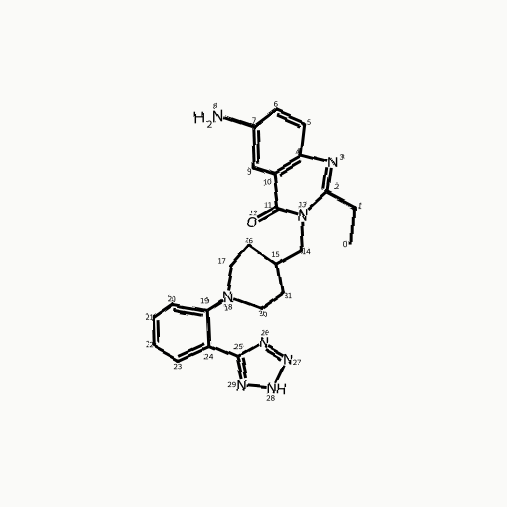 CCc1nc2ccc(N)cc2c(=O)n1CC1CCN(c2ccccc2-c2nn[nH]n2)CC1